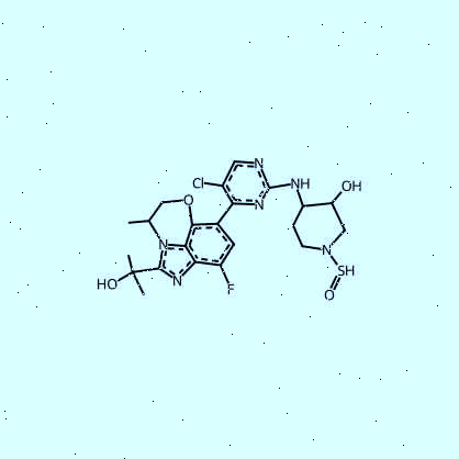 CC1COc2c(-c3nc(NC4CCN([SH]=O)CC4O)ncc3Cl)cc(F)c3nc(C(C)(C)O)n1c23